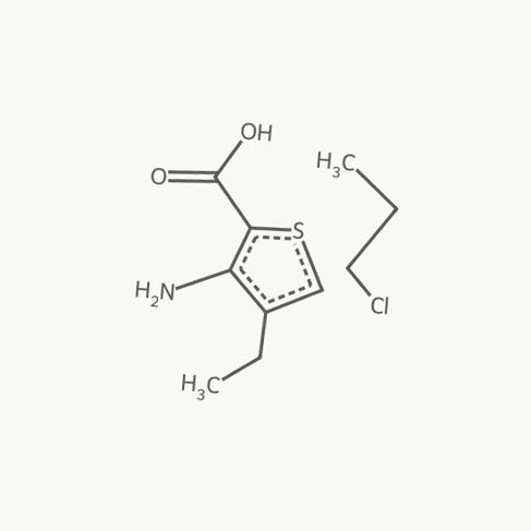 CCCCl.CCc1csc(C(=O)O)c1N